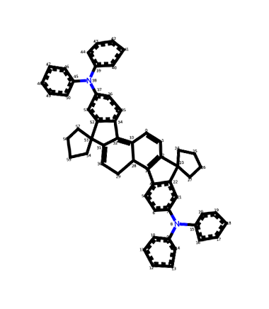 C1=CC2=C(c3ccc(N(c4ccccc4)c4ccccc4)cc3C23CCCC3)C2CC=C3C(=C12)c1ccc(N(c2ccccc2)c2ccccc2)cc1C31CCCC1